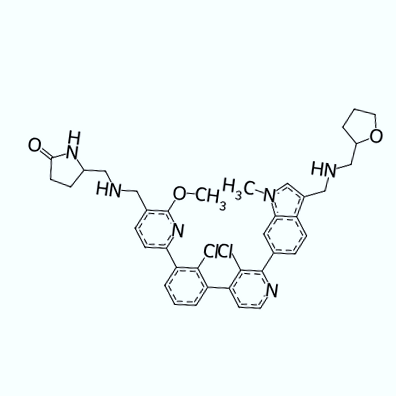 COc1nc(-c2cccc(-c3ccnc(-c4ccc5c(CNCC6CCCO6)cn(C)c5c4)c3Cl)c2Cl)ccc1CNCC1CCC(=O)N1